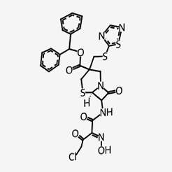 O=C(CCl)C(=NO)C(=O)NC1C(=O)N2CC(CSc3ncns3)(C(=O)OC(c3ccccc3)c3ccccc3)CS[C@H]12